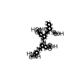 Cc1ccc2cc(SOOO)c(N=Nc3ccc(N=Nc4ccc(N=Nc5ccc6[nH]c(=O)[nH]c6c5)c5ccc(S(=O)(=O)O)cc45)c4ccc(S(=O)(=O)O)cc34)c(O)c2c1